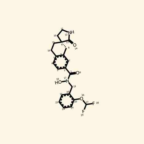 O=C(c1ccc2c(c1)C[C@@]1(CCNC1=O)CC2)N(O)Cc1ccccc1OC(F)F